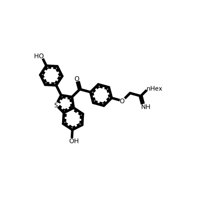 CCCCCCC(=N)COc1ccc(C(=O)c2c(-c3ccc(O)cc3)sc3cc(O)ccc23)cc1